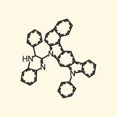 c1ccc(C2Nc3ccccc3N=C2n2c3cc4c(cc3c3c5ccccc5ccc32)c2ccccc2n4-c2ccccc2)cc1